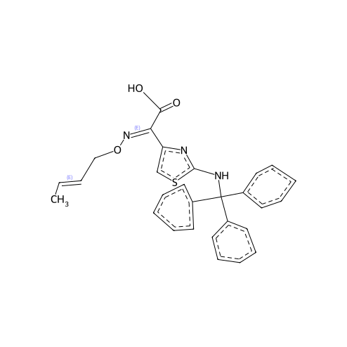 C/C=C/CO/N=C(/C(=O)O)c1csc(NC(c2ccccc2)(c2ccccc2)c2ccccc2)n1